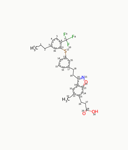 CCCc1ccc(C(F)(F)F)c(Sc2cccc(CCc3noc4cc(CCC(=O)O)c(C)cc34)c2)c1